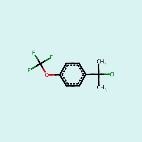 CC(C)(Cl)c1ccc(OC(F)(F)F)cc1